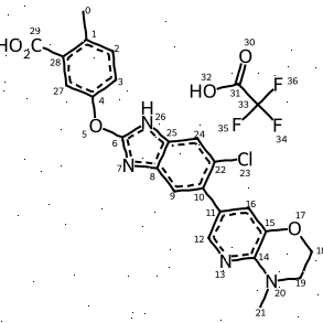 Cc1ccc(Oc2nc3cc(-c4cnc5c(c4)OCCN5C)c(Cl)cc3[nH]2)cc1C(=O)O.O=C(O)C(F)(F)F